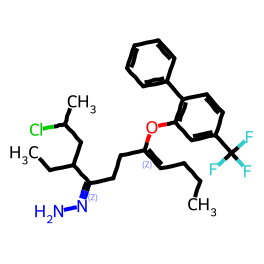 CCC/C=C(/CC/C(=N/N)C(CC)CC(C)Cl)Oc1cc(C(F)(F)F)ccc1-c1ccccc1